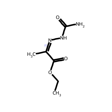 CCOC(=O)/C(C)=N\NC(N)=O